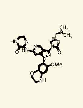 COc1cc2c(cc1-n1nc(N3C[C@@H](CN(C)C)OC3=O)c3cnc(Nc4ncc[nH]c4=O)cc31)OCCN2